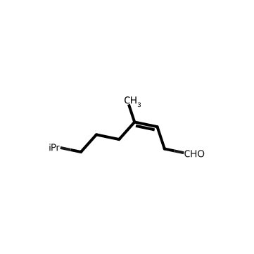 C/C(=C/CC=O)CCCC(C)C